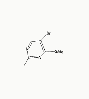 CSc1nc(C)ncc1Br